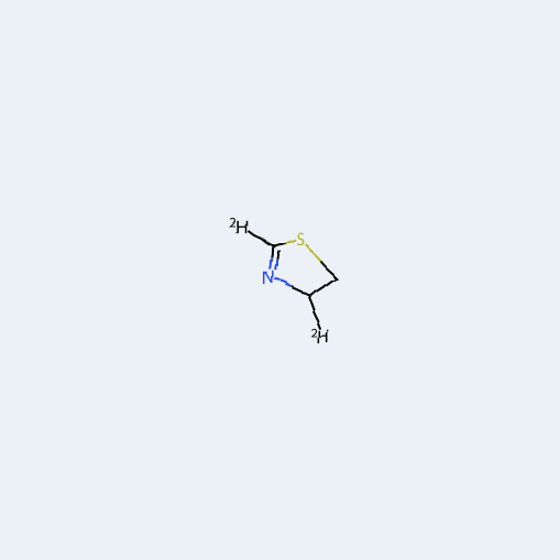 [2H]C1=NC([2H])CS1